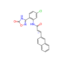 O=C(/C=C/c1ccc2ccccc2c1)Nc1cc(Cl)ccc1-c1noc(=O)[nH]1